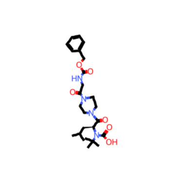 CC(C)C[C@@H](C(=O)N1CCN(C(=O)CNC(=O)OCc2ccccc2)CC1)N(C(=O)O)C(C)(C)C